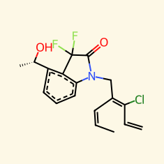 C=C/C(Cl)=C(\C=C/C)CN1C(=O)C(F)(F)c2c([C@H](C)O)cccc21